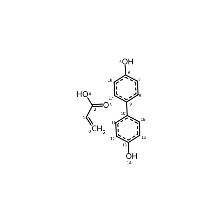 C=CC(=O)O.Oc1ccc(-c2ccc(O)cc2)cc1